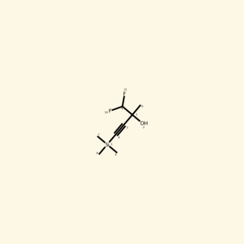 CC(O)(C#C[Si](C)(C)C)C(F)F